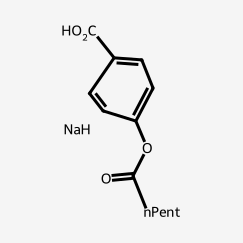 CCCCCC(=O)Oc1ccc(C(=O)O)cc1.[NaH]